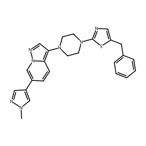 Cn1cc(-c2ccc3c(N4CCN(c5ncc(Cc6ccccc6)s5)CC4)cnn3c2)cn1